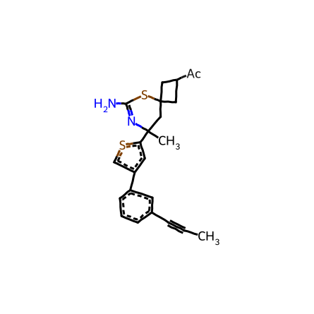 CC#Cc1cccc(-c2csc(C3(C)CC4(CC(C(C)=O)C4)SC(N)=N3)c2)c1